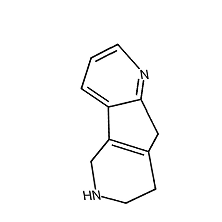 c1cnc2c(c1)C1=C(CCNC1)C2